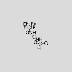 O=C(NC[C@H]1CC[C@@H](NC(=O)[C@@H]2C[C@@H](c3ccccc3)CN2)CC1)c1cc(C(F)(F)F)cc(C(F)(F)F)c1